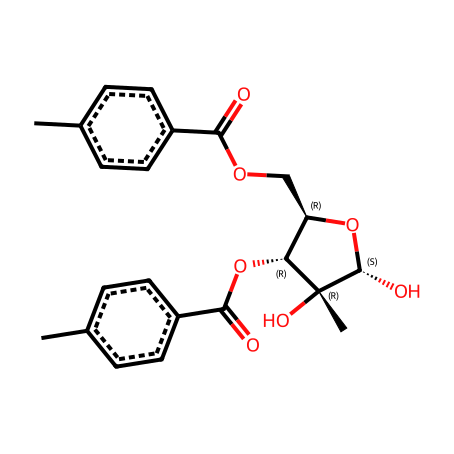 Cc1ccc(C(=O)OC[C@H]2O[C@H](O)[C@](C)(O)[C@@H]2OC(=O)c2ccc(C)cc2)cc1